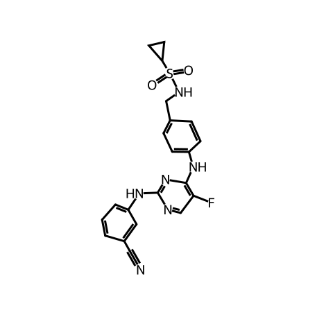 N#Cc1cccc(Nc2ncc(F)c(Nc3ccc(CNS(=O)(=O)C4CC4)cc3)n2)c1